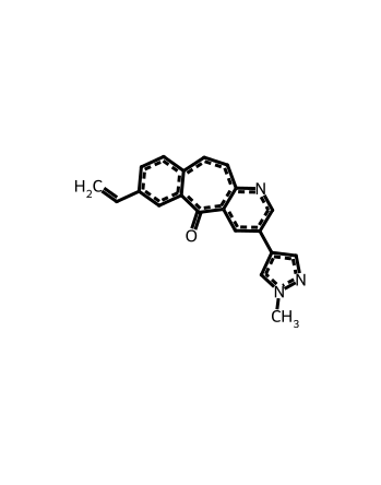 C=Cc1ccc2ccc3ncc(-c4cnn(C)c4)cc3c(=O)c2c1